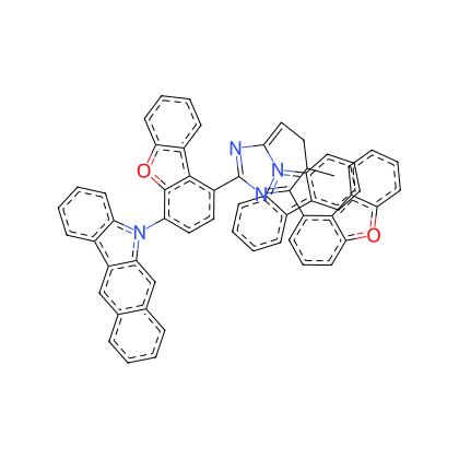 CC1C/C=C(n2c3ccccc3c3ccccc32)/N=C(c2ccc(-n3c4ccccc4c4cc5ccccc5cc43)c3oc4ccccc4c23)\N=C/1c1cccc2oc3ccccc3c12